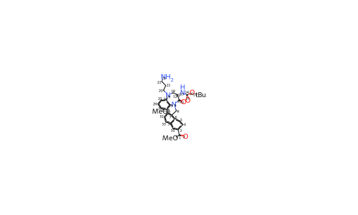 COC(=O)c1ccc2c(CN3C(=O)[C@@H](NC(=O)OC(C)(C)C)CN(CCCN)c4ccccc43)c(OC)ccc2c1